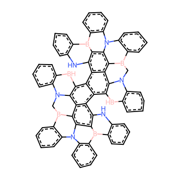 B1c2ccccc2N2CB3c4ccccc4N4c5ccccc5B5c6ccccc6Nc6c5c4c3c3c2c1c1c2c4c5c7c8c2c2c(c1c63)Bc1ccccc1N2CB8c1ccccc1N7c1ccccc1B5c1ccccc1N4